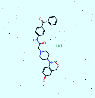 Cl.O=C1C=CC2=C(COCN2C2CCN(CC(=O)Nc3ccc(C(=O)c4ccccc4)cc3)CC2)C1